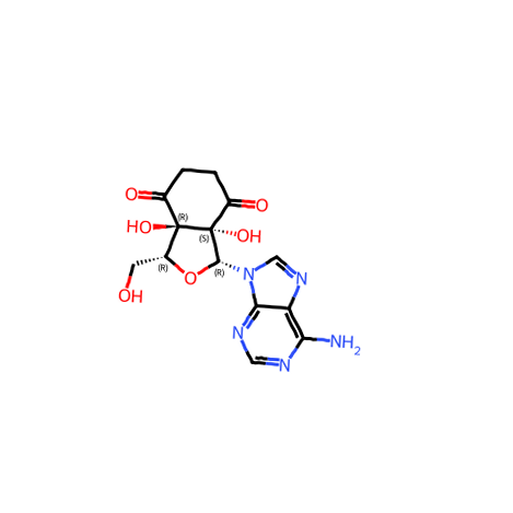 Nc1ncnc2c1ncn2[C@@H]1O[C@H](CO)[C@]2(O)C(=O)CCC(=O)[C@@]12O